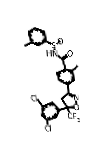 Cc1cccc([S+]([O-])NC(=O)c2ccc(C3=NOC(c4cc(Cl)cc(Cl)c4)(C(F)(F)F)C3)cc2C)c1